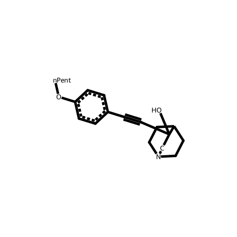 CCCCCOc1ccc(C#CC2(O)CN3CCC2CC3)cc1